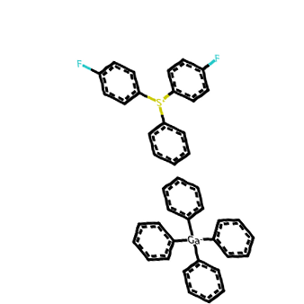 Fc1ccc([S+](c2ccccc2)c2ccc(F)cc2)cc1.c1cc[c]([Ga-]([c]2ccccc2)([c]2ccccc2)[c]2ccccc2)cc1